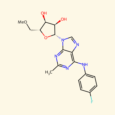 COC[C@H]1O[C@@H](n2cnc3c(Nc4ccc(F)cc4)nc(C)nc32)[C@H](O)[C@@H]1O